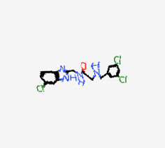 O=C(CNCc1cc(Cl)cc(Cl)c1)NCc1nc2ccc(Cl)cc2[nH]1